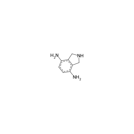 Nc1ccc(N)c2c1CNC2